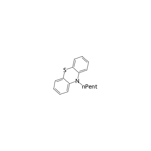 CCCCCN1c2ccccc2Sc2ccccc21